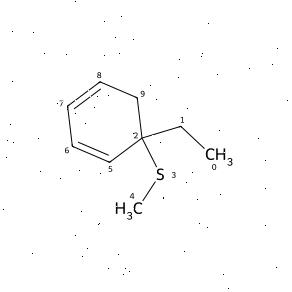 CCC1(SC)C=CC=CC1